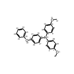 COc1ccc(N(c2ccc(OC)cc2)c2ccc(Oc3ccccc3)cc2)cc1